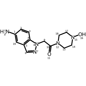 Nc1ccc2c(cnn2CC(=O)N2CCN(O)CC2)c1